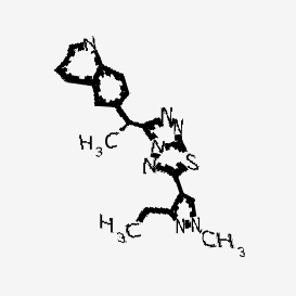 CCc1nn(C)cc1-c1nn2c([C@@H](C)c3ccc4ncccc4c3)nnc2s1